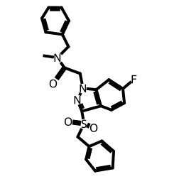 CN(Cc1ccccc1)C(=O)Cn1nc(S(=O)(=O)Cc2ccccc2)c2ccc(F)cc21